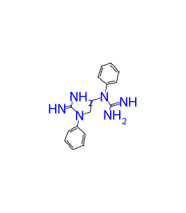 N=C(N)N(CCN(C(=N)N)c1ccccc1)c1ccccc1